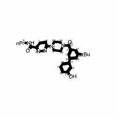 CCCNC(=O)c1ccc(N2CCN(C(=O)c3cc(-c4cccc(O)c4)cc(C(C)(C)C)c3)CC2)nn1